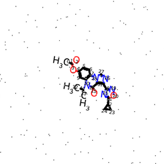 CC(=O)Oc1ccc2c(c1)n(C(C)C)c(=O)c1c(-c3noc(C4CC4)n3)ncn12